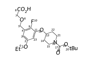 CCOc1cc(COCC(=O)O)c(F)c(OC2CCN(C(=O)OC(C)(C)C)CC2)c1